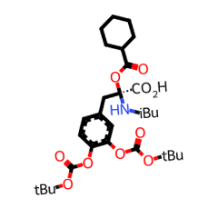 CCC(C)N[C@@](Cc1ccc(OC(=O)OC(C)(C)C)c(OC(=O)OC(C)(C)C)c1)(OC(=O)C1CCCCC1)C(=O)O